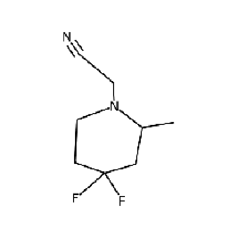 CC1CC(F)(F)CCN1CC#N